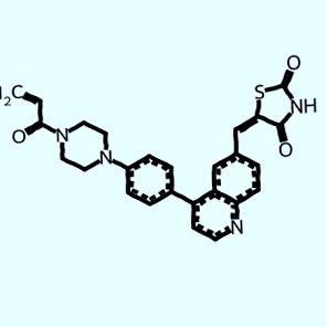 C=CC(=O)N1CCN(c2ccc(-c3ccnc4ccc(C=C5SC(=O)NC5=O)cc34)cc2)CC1